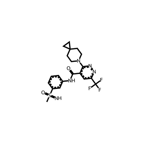 CS(=N)(=O)c1cccc(NC(=O)c2cc(C(F)(F)F)nnc2N2CCC3(CC2)CC3)c1